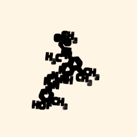 CC(C)c1ccc(N2C[C@H](CS(C)(=O)=O)[C@H]2C)c2cnc(Nc3ncnc(N4CC[C@H](O)[C@](C)(F)C4)n3)cc12